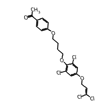 CC(=O)c1ccc(OCCCCOc2c(Cl)cc(OCC=C(Cl)Cl)cc2Cl)cc1